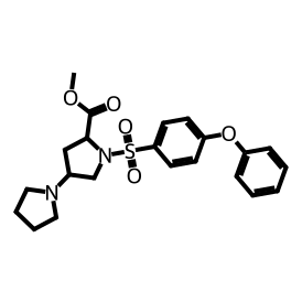 COC(=O)C1CC(N2CCCC2)CN1S(=O)(=O)c1ccc(Oc2ccccc2)cc1